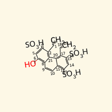 C=Cc1c(S(=O)(=O)O)cc(O)c2ccc3c(S(=O)(=O)O)cc(S(=O)(=O)O)c(C=C)c3c12